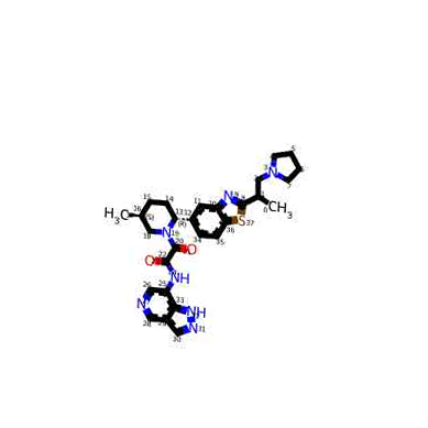 CC(CN1CCCC1)c1nc2cc([C@H]3CC[C@H](C)CN3C(=O)C(=O)Nc3cncc4cn[nH]c34)ccc2s1